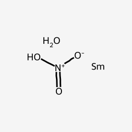 O.O=[N+]([O-])O.[Sm]